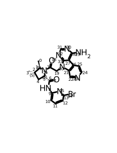 C[C@@H]1[C@@H](C)C[C@@H](C(=O)Nc2cccc(Br)n2)N1C(=O)Cn1c2cnccc2c2c(N)ncnc21